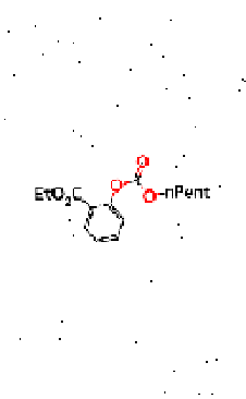 CCCCCOC(=O)Oc1ccccc1C(=O)OCC